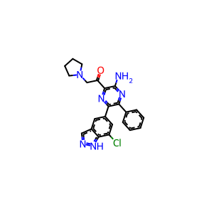 Nc1nc(-c2ccccc2)c(-c2cc(Cl)c3[nH]ncc3c2)nc1C(=O)CN1CCCC1